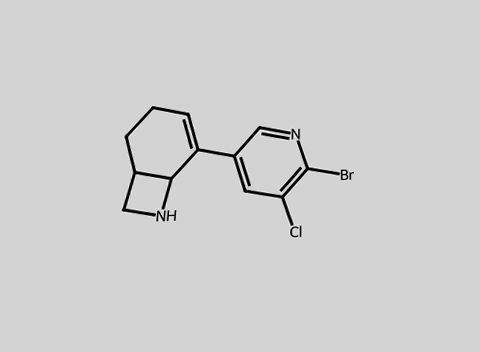 Clc1cc(C2=CCCC3CNC23)cnc1Br